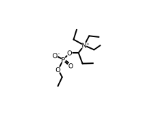 CCOP(=O)([O-])OC(CC)[N+](CC)(CC)CC